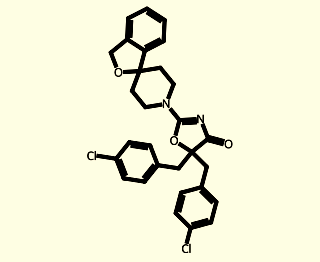 O=C1N=C(N2CCC3(CC2)OCc2ccccc23)OC1(Cc1ccc(Cl)cc1)Cc1ccc(Cl)cc1